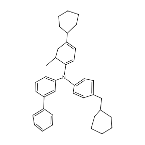 CC1CC(C2CCCCC2)=CC=C1N(c1ccc(CC2CCCCC2)cc1)c1cccc(-c2ccccc2)c1